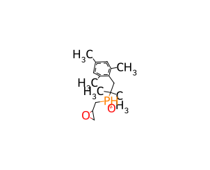 Cc1cc(C)c(CC(C)(C)[PH](=O)CC2CO2)c(C)c1